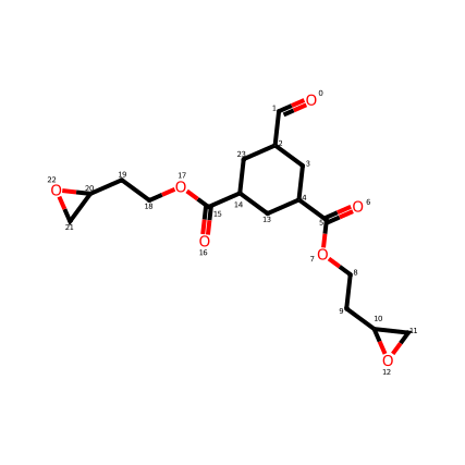 O=CC1CC(C(=O)OCCC2CO2)CC(C(=O)OCCC2CO2)C1